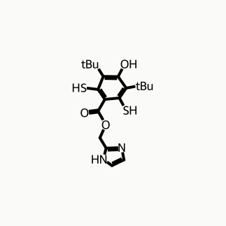 CC(C)(C)c1c(O)c(C(C)(C)C)c(S)c(C(=O)OCc2ncc[nH]2)c1S